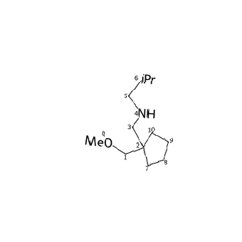 COCC1(CNCC(C)C)CCCC1